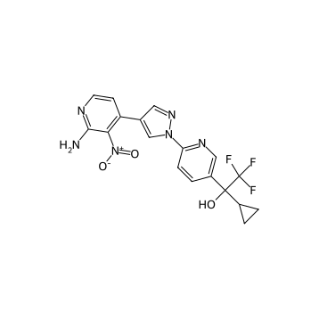 Nc1nccc(-c2cnn(-c3ccc(C(O)(C4CC4)C(F)(F)F)cn3)c2)c1[N+](=O)[O-]